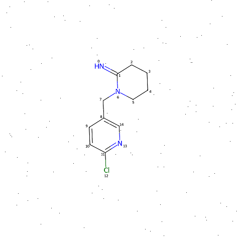 N=C1CCCCN1Cc1ccc(Cl)nc1